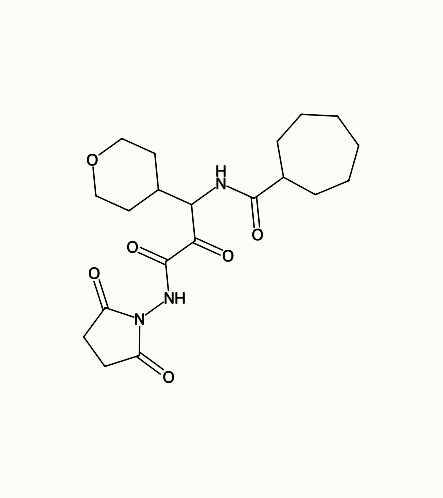 O=C(NN1C(=O)CCC1=O)C(=O)C(NC(=O)C1CCCCCC1)C1CCOCC1